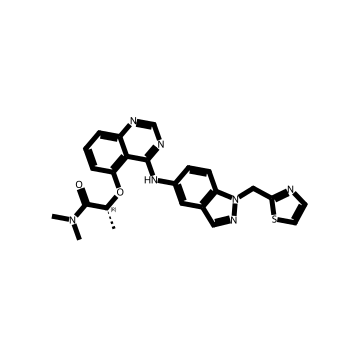 C[C@@H](Oc1cccc2ncnc(Nc3ccc4c(cnn4Cc4nccs4)c3)c12)C(=O)N(C)C